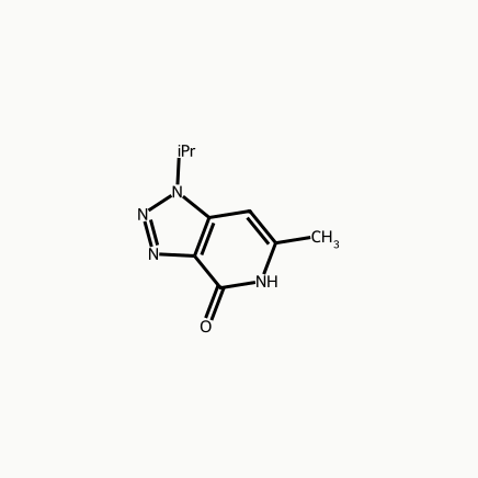 Cc1cc2c(nnn2C(C)C)c(=O)[nH]1